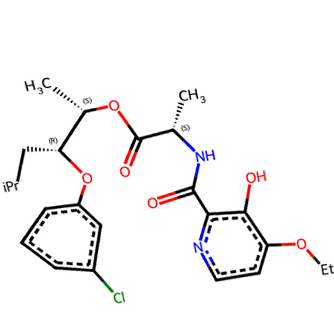 CCOc1ccnc(C(=O)N[C@@H](C)C(=O)O[C@@H](C)[C@@H](CC(C)C)Oc2cccc(Cl)c2)c1O